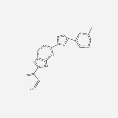 C=C(C=N)c1cc2nc(-n3ccc(-c4cccc(C)c4)n3)ccc2o1